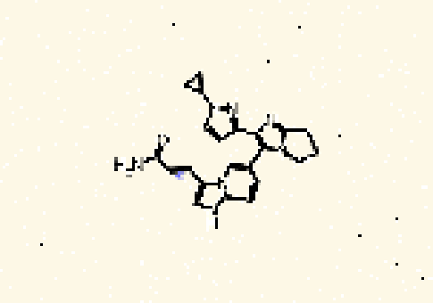 NC(=O)/C=C/C1=CNC2C=CC(c3c(-c4ccn(C5CC5)n4)nc4n3CCC4)=CN12